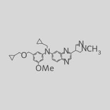 COc1cc(COCC2CC2)cc(N(CC2CC2)c2ccc3ncc(C4C=NN(C)C4)nc3c2)c1